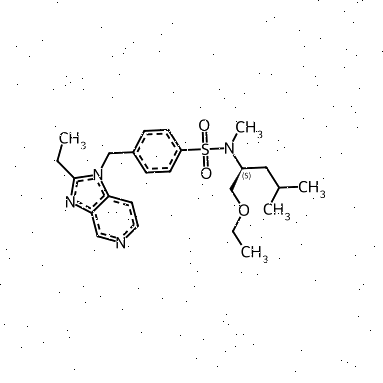 CCOC[C@H](CC(C)C)N(C)S(=O)(=O)c1ccc(Cn2c(CC)nc3cnccc32)cc1